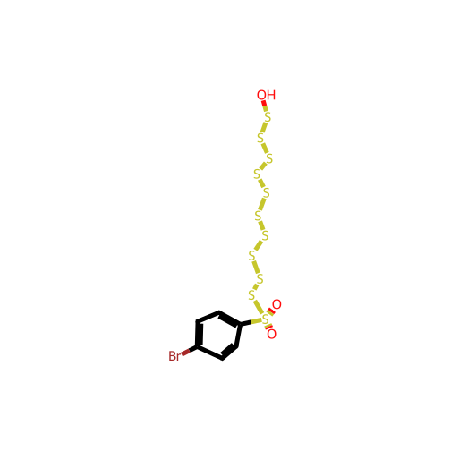 O=S(=O)(SSSSSSSSSSO)c1ccc(Br)cc1